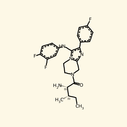 CC[C@H](C)[C@H](N)C(=O)N1CCn2c(nc(-c3ccc(F)cc3)c2Nc2ccc(F)c(F)c2)C1